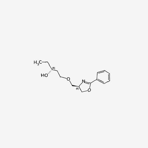 CC[C@@H](O)CCOC[C@@H]1COC(c2ccccc2)=N1